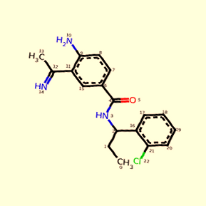 CCC(NC(=O)c1ccc(N)c(C(C)=N)c1)c1ccccc1Cl